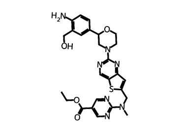 CCOC(=O)c1cnc(N(C)Cc2cc3nc(N4CCOC(c5ccc(N)c(CO)c5)C4)ncc3s2)nc1